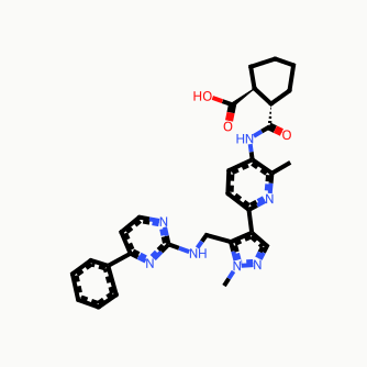 Cc1nc(-c2cnn(C)c2CNc2nccc(-c3ccccc3)n2)ccc1NC(=O)[C@H]1CCCC[C@@H]1C(=O)O